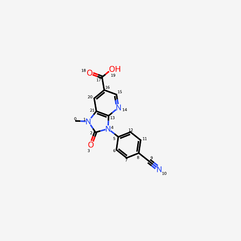 Cn1c(=O)n(-c2ccc(C#N)cc2)c2ncc(C(=O)O)cc21